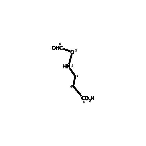 O=CONCCC(=O)O